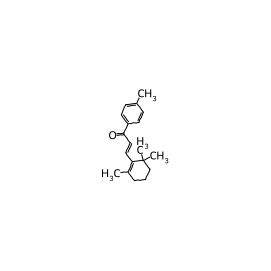 CC1=C(C=CC(=O)c2ccc(C)cc2)C(C)(C)CCC1